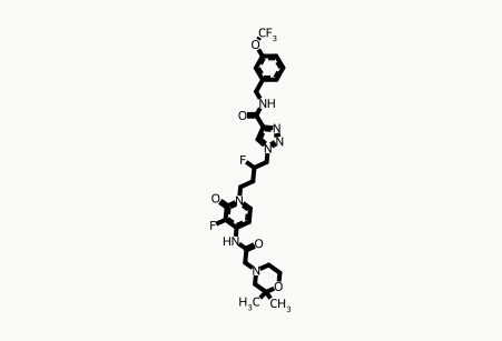 CC1(C)CN(CC(=O)Nc2ccn(CCC(F)Cn3cc(C(=O)NCc4cccc(OC(F)(F)F)c4)nn3)c(=O)c2F)CCO1